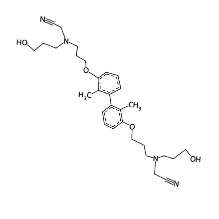 Cc1c(OCCCN(CC#N)CCCO)cccc1-c1cccc(OCCCN(CC#N)CCCO)c1C